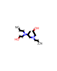 CC(CN(CCO)CCC#N)N(CCO)CCC#N